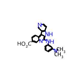 CN(C)c1cccc(Nc2nc3cc(C(=O)O)ccc3c3c2[nH]c2ccncc23)c1